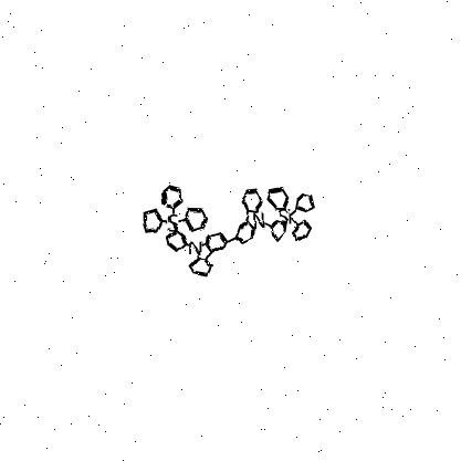 c1cccc(S(c2ccccc2)(c2ccccc2)c2cccc(-n3c4ccccc4c4cc(-c5ccc6c(c5)c5ccccc5n6-c5cccc([Si](c6ccccc6)(c6ccccc6)c6ccccc6)c5)ccc43)c2)c#1